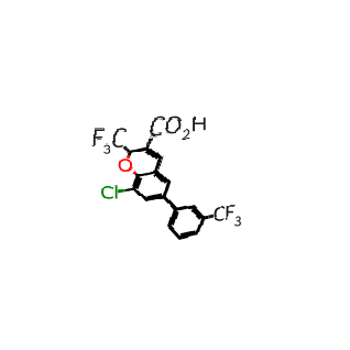 O=C(O)C1=Cc2cc(-c3cccc(C(F)(F)F)c3)cc(Cl)c2OC1C(F)(F)F